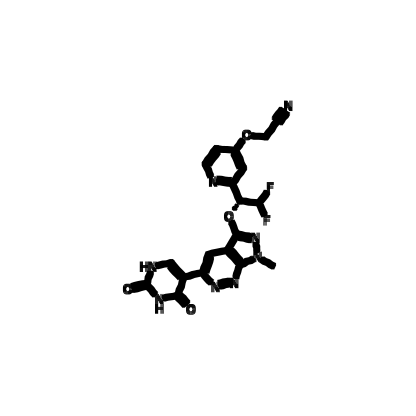 Cn1nc(O[C@H](c2cc(OCC#N)ccn2)C(F)F)c2cc(-c3c[nH]c(=O)[nH]c3=O)nnc21